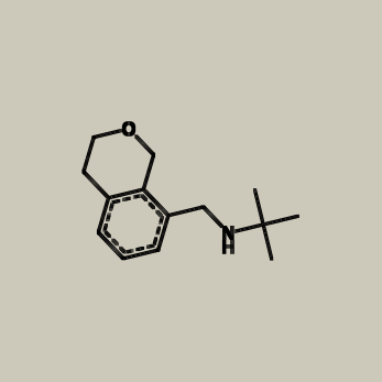 CC(C)(C)NCc1cccc2c1COCC2